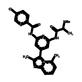 CNC(C)C(=O)Nc1cc(-c2c(C)nc3cccc(C)n23)cc(NC(=O)c2ccc(Cl)cn2)n1